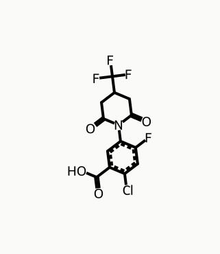 O=C(O)c1cc(N2C(=O)CC(C(F)(F)F)CC2=O)c(F)cc1Cl